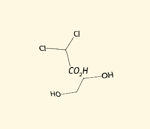 O=C(O)C(Cl)Cl.OCCO